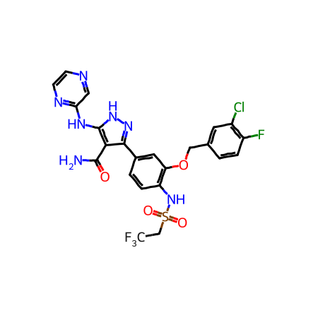 NC(=O)c1c(-c2ccc(NS(=O)(=O)CC(F)(F)F)c(OCc3ccc(F)c(Cl)c3)c2)n[nH]c1Nc1cnccn1